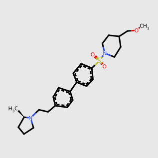 COCC1CCN(S(=O)(=O)c2ccc(-c3ccc(CCN4CCC[C@H]4C)cc3)cc2)CC1